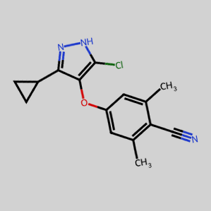 Cc1cc(Oc2c(C3CC3)n[nH]c2Cl)cc(C)c1C#N